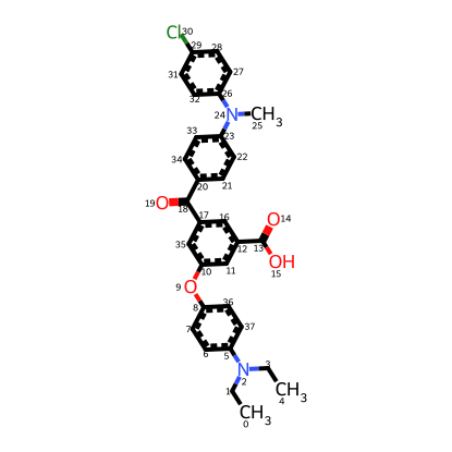 CCN(CC)c1ccc(Oc2cc(C(=O)O)cc(C(=O)c3ccc(N(C)c4ccc(Cl)cc4)cc3)c2)cc1